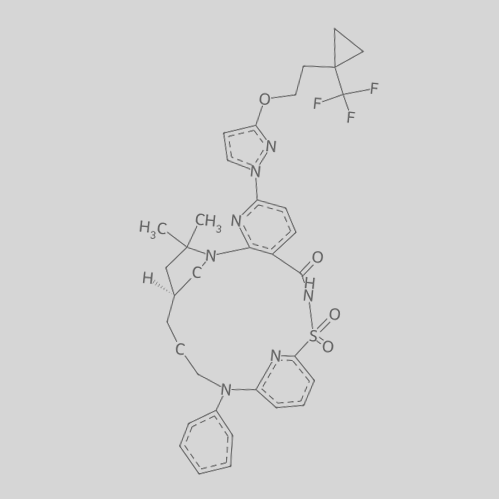 CC1(C)C[C@@H]2CCCN(c3ccccc3)c3cccc(n3)S(=O)(=O)NC(=O)c3ccc(-n4ccc(OCCC5(C(F)(F)F)CC5)n4)nc3N1C2